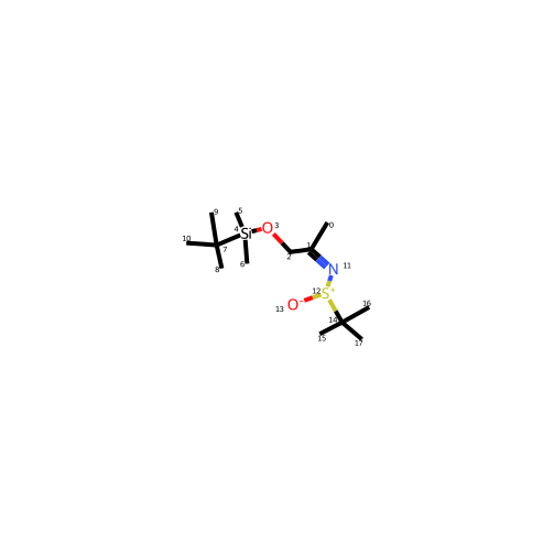 C/C(CO[Si](C)(C)C(C)(C)C)=N/[S+]([O-])C(C)(C)C